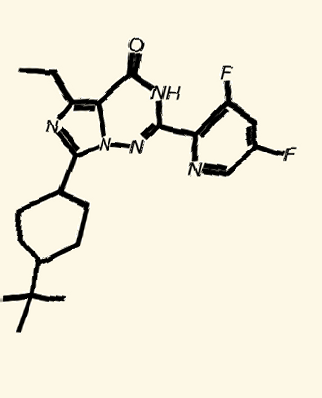 CCc1nc(C2CCC(C(C)(C)C)CC2)n2nc(-c3ncc(F)cc3F)[nH]c(=O)c12